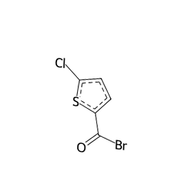 O=C(Br)c1ccc(Cl)s1